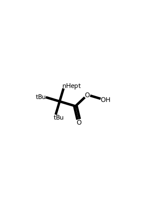 CCCCCCCC(C(=O)OO)(C(C)(C)C)C(C)(C)C